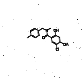 Cc1ccc(CN(C)C(=O)c2cc(Cl)c(O)cc2O)cc1